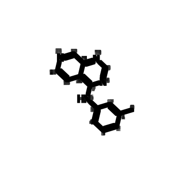 Cc1cccc(Nc2ncnc3cnccc23)c1